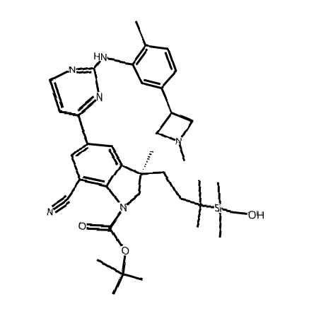 Cc1ccc(C2CN(C)C2)cc1Nc1nccc(-c2cc(C#N)c3c(c2)[C@@](C)(CCC(C)(C)[Si](C)(C)O)CN3C(=O)OC(C)(C)C)n1